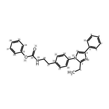 CCc1nc(-c2ccccc2)cn1-c1ccc(CCNC(=O)Oc2ccccc2)cc1